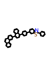 c1ccc(-c2nc3ccc(-c4ccc(-c5ccc(-c6ccc7ccc8ccccc8c7c6)c6ccccc56)cc4)cc3s2)cc1